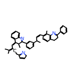 CC(C)=C(/C=C1/c2ccccc2N=C(c2cccc(C(C)/C=C\c3ccc4c(c3C)N=C(c3ccccc3)CC4)c2)C1C)CCC1=NCC=C1